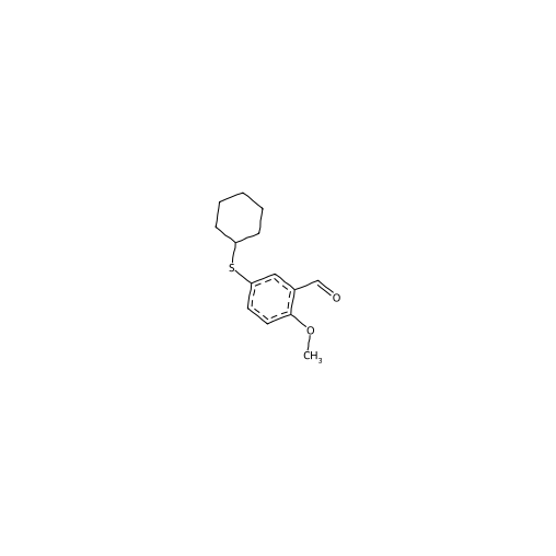 COc1ccc(SC2CCCCC2)cc1C=O